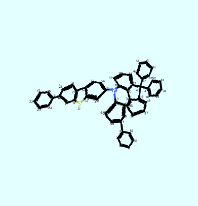 c1ccc(-c2ccc(N(c3ccc4c(c3)sc3cc(-c5ccccc5)ccc34)c3cccc4c3-c3ccccc3C4(c3ccccc3)c3ccccc3)cc2)cc1